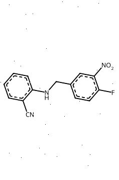 N#Cc1ccccc1NCc1ccc(F)c([N+](=O)[O-])c1